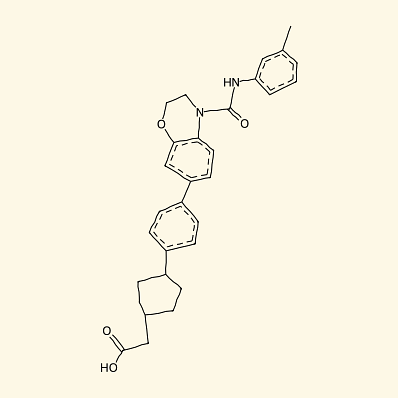 Cc1cccc(NC(=O)N2CCOc3cc(-c4ccc(C5CCC(CC(=O)O)CC5)cc4)ccc32)c1